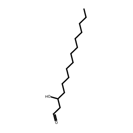 CCCCCCCCCCCCC(O)C[C]=O